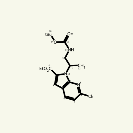 CCOC(=O)c1cc2ccc(Cl)nc2n1C(C)CNC(=O)OC(C)(C)C